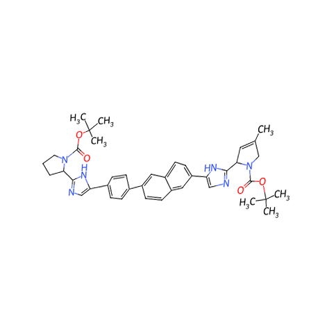 CC1=CC(c2ncc(-c3ccc4cc(-c5ccc(-c6cnc(C7CCCN7C(=O)OC(C)(C)C)[nH]6)cc5)ccc4c3)[nH]2)N(C(=O)OC(C)(C)C)C1